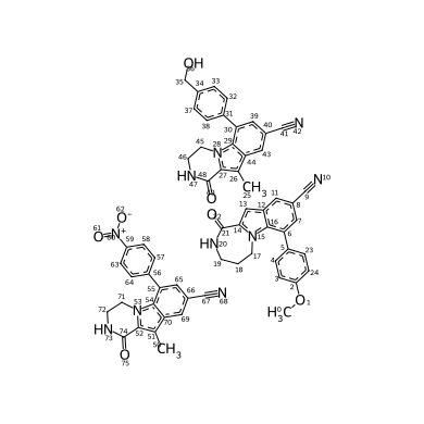 COc1ccc(-c2cc(C#N)cc3cc4n(c23)CCCNC4=O)cc1.Cc1c2n(c3c(-c4ccc(CO)cc4)cc(C#N)cc13)CCNC2=O.Cc1c2n(c3c(-c4ccc([N+](=O)[O-])cc4)cc(C#N)cc13)CCNC2=O